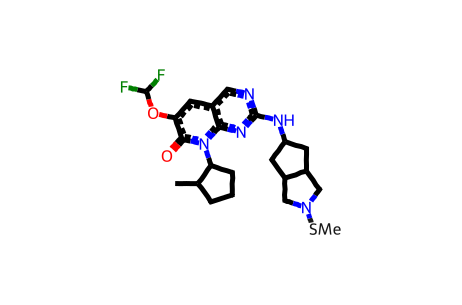 CSN1CC2CC(Nc3ncc4cc(OC(F)F)c(=O)n(C5CCCC5C)c4n3)CC2C1